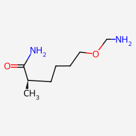 C[C@H](CCCCOCN)C(N)=O